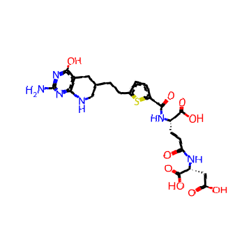 Nc1nc(O)c2c(n1)NCC(CCc1ccc(C(=O)N[C@@H](CCC(=O)N[C@H](CC(=O)O)C(=O)O)C(=O)O)s1)C2